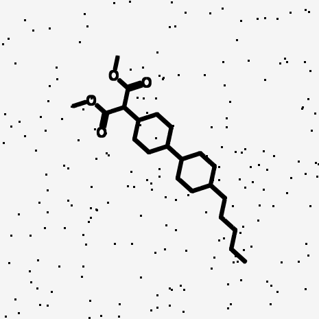 CCCCCC1CCC(C2CCC(C(C(=O)OC)C(=O)OC)CC2)CC1